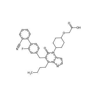 CCCCc1c(Cc2ccc(-c3ccccc3C#N)c(F)c2)c(=O)n(C2CCC(OCC(=O)O)CC2)c2ccnn12